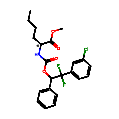 CCCC[C@H](NC(=O)OC(c1ccccc1)C(F)(F)c1cccc(Cl)c1)C(=O)OC